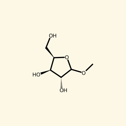 COC1O[C@H](CO)[C@H](O)[C@H]1O